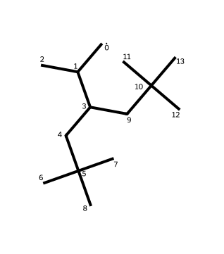 [CH2]C(C)C(CC(C)(C)C)CC(C)(C)C